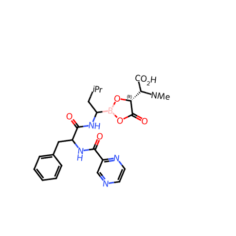 CNC(C(=O)O)[C@H]1OB(C(CC(C)C)NC(=O)C(Cc2ccccc2)NC(=O)c2cnccn2)OC1=O